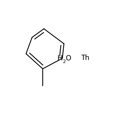 Cc1ccccc1.O.[Th]